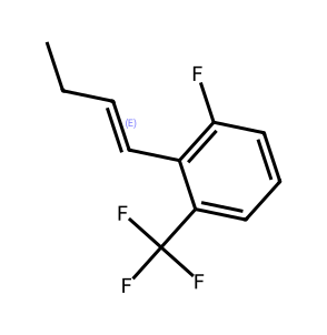 CC/C=C/c1c(F)cccc1C(F)(F)F